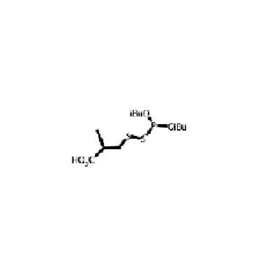 CC(C)COP(OCC(C)C)SSCC(C)C(=O)O